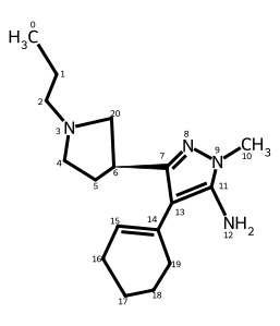 CCCN1CC[C@H](c2nn(C)c(N)c2C2=CCCCC2)C1